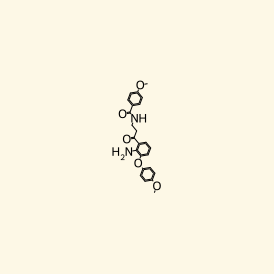 COc1ccc(Oc2cccc(C(=O)CCNC(=O)c3ccc(OC)cc3)c2N)cc1